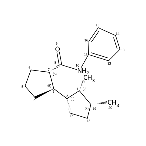 C[C@H]1[C@@H]([C@H]2CCC[C@@H]2C(=O)Nc2ccccc2)CC[C@H]1C